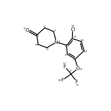 O=C1CCN(c2cc(OC(F)(F)F)ccc2Cl)CC1